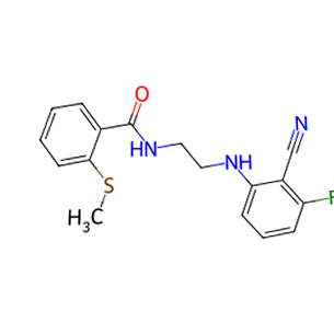 CSc1ccccc1C(=O)NCCNc1cccc(F)c1C#N